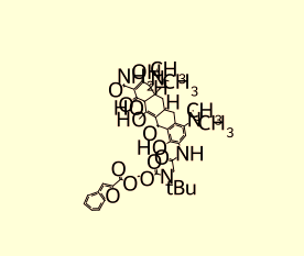 CN(C)c1cc(NC(=O)CN(C(=O)OCOC(=O)c2cc3ccccc3o2)C(C)(C)C)c(O)c2c1C[C@H]1C[C@H]3[C@H](N(C)C)C(O)=C(C(N)=O)C(=O)[C@@]3(O)C(O)=C1C2=O